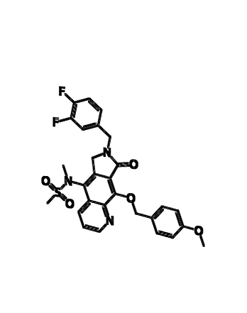 COc1ccc(COc2c3c(c(N(C)S(C)(=O)=O)c4cccnc24)CN(Cc2ccc(F)c(F)c2)C3=O)cc1